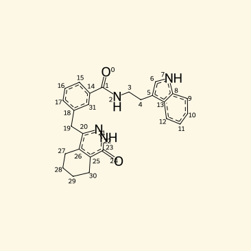 O=C(NCCc1c[nH]c2ccccc12)c1cccc(Cc2n[nH]c(=O)c3c2CCCC3)c1